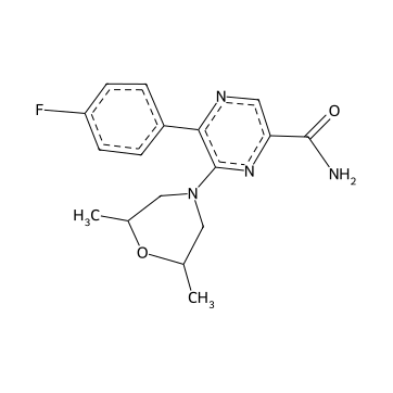 CC1CN(c2nc(C(N)=O)cnc2-c2ccc(F)cc2)CC(C)O1